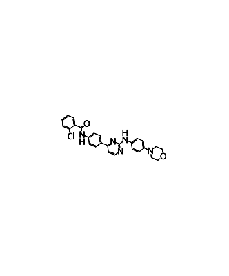 O=C(Nc1ccc(-c2ccnc(Nc3ccc(N4CCOCC4)cc3)n2)cc1)c1ccccc1Cl